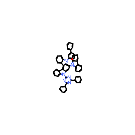 c1ccc(-c2cccc(-n3c4ccccc4c4c5c6ccccc6n(-c6nc(-c7ccccc7)nc(-c7ccccc7)n6)c5cc(-n5c6ccccc6c6ccccc65)c43)c2)cc1